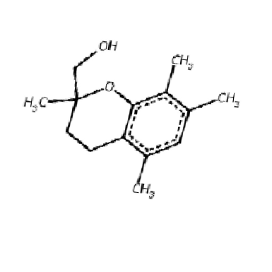 Cc1cc(C)c2c(c1C)OC(C)(CO)CC2